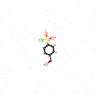 O=[C]c1ccc(S(=O)(=O)Cl)cc1